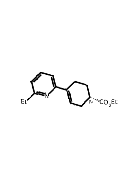 CCOC(=O)[C@@H]1CC=C(c2cccc(CC)n2)CC1